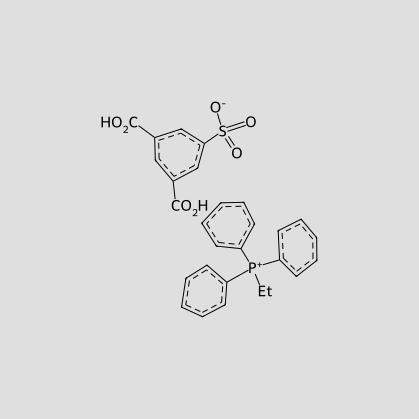 CC[P+](c1ccccc1)(c1ccccc1)c1ccccc1.O=C(O)c1cc(C(=O)O)cc(S(=O)(=O)[O-])c1